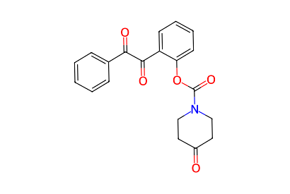 O=C1CCN(C(=O)Oc2ccccc2C(=O)C(=O)c2ccccc2)CC1